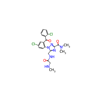 CNCC(=O)NCc1nc(C(=O)N(C)C)nn1-c1ccc(Cl)cc1C(=O)c1ccccc1Cl